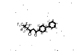 O=C(CC(=O)C(F)(F)C(F)(F)C(F)(F)F)c1ccc(-c2ccccc2)cc1